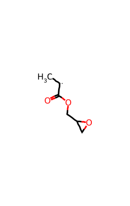 C[CH]C(=O)OCC1CO1